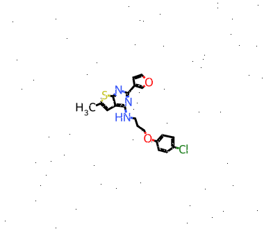 Cc1cc2c(NCCCOc3ccc(Cl)cc3)nc(-c3ccoc3)nc2s1